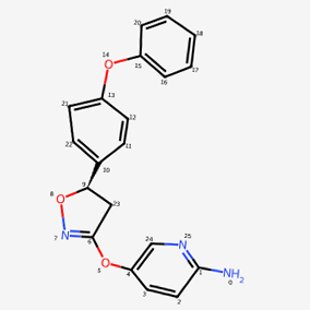 Nc1ccc(OC2=NO[C@@H](c3ccc(Oc4ccccc4)cc3)C2)cn1